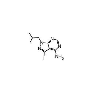 CC(C)Cn1nc(I)c2c(N)ncnc21